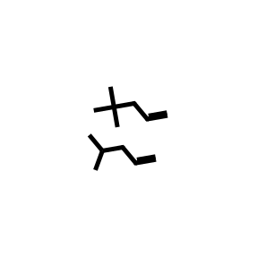 C=CCC(C)(C)C.C=CCC(C)C